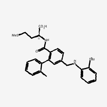 CCCCc1ccccc1NCc1ccc(C(=O)N[C@@H](CCSC)C(=O)O)c(-c2ccccc2C)c1